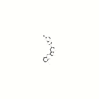 Nc1ccc(F)c(C(=O)c2c[nH]c3ncc(-c4cn5ccc(C(F)(F)F)nc5n4)cc23)c1F